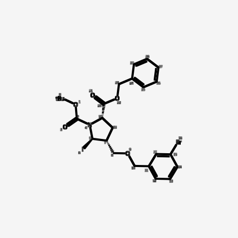 CC(C)(C)OC(=O)N1[C@H](I)[C@@H](COCc2cccc(Br)c2)C[C@H]1C(=O)OCc1ccccc1